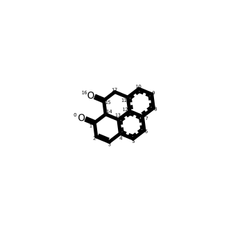 O=C1C=Cc2ccc3cccc4c3c2C1C(=O)C4